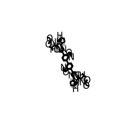 COC(=O)N[C@H](C(=O)N1C[C@@H]2CC[C@@]1(c1nc(-c3ccc(-c4ccc(-c5c[nH]c([C@@]67CC[C@@H](CN6C(=O)[C@@H](NC(=O)OC)C(C)C)C7)n5)c5ocnc45)c4ncoc34)c[nH]1)C2)C(C)C